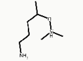 CC(CCCN)O[SiH](C)C